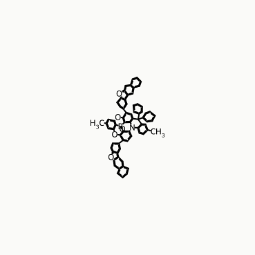 Cc1cc2c3c(c1)Oc1c(-c4ccc5oc6cc7ccccc7cc6c5c4)cc4c5c1P3(=O)c1c(ccc(-c3ccc6oc7cc8ccccc8cc7c6c3)c1O2)N5c1ccc(C)cc1C4(c1ccccc1)c1ccccc1